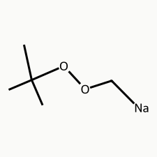 CC(C)(C)OO[CH2][Na]